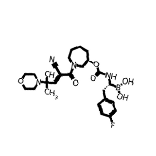 CC(C)(C=C(C#N)C(=O)N1CCCC[C@@H](OC(=O)N[C@@H](Cc2ccc(F)cc2)B(O)O)C1)N1CCOCC1